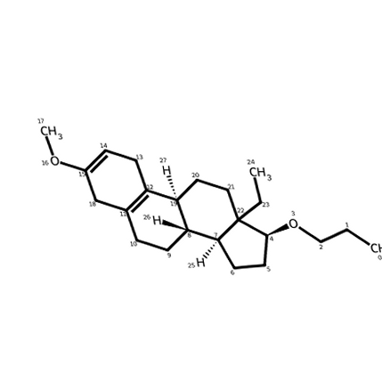 CCCO[C@H]1CC[C@H]2[C@@H]3CCC4=C(CC=C(OC)C4)[C@H]3CCC12CC